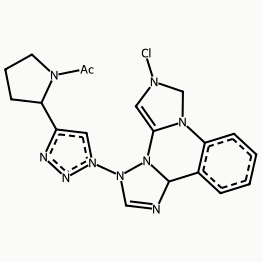 CC(=O)N1CCCC1c1cn(N2C=NC3c4ccccc4N4CN(Cl)C=C4N32)nn1